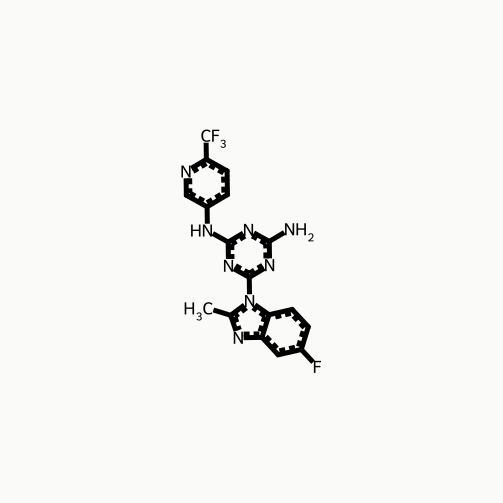 Cc1nc2cc(F)ccc2n1-c1nc(N)nc(Nc2ccc(C(F)(F)F)nc2)n1